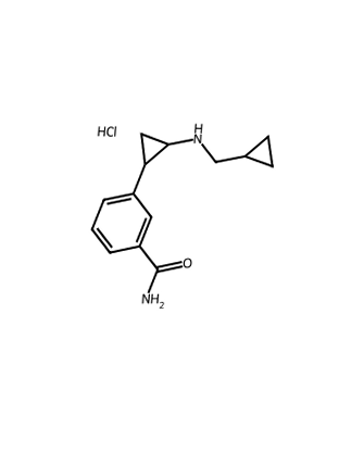 Cl.NC(=O)c1cccc(C2CC2NCC2CC2)c1